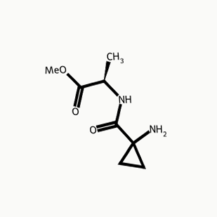 COC(=O)[C@@H](C)NC(=O)C1(N)CC1